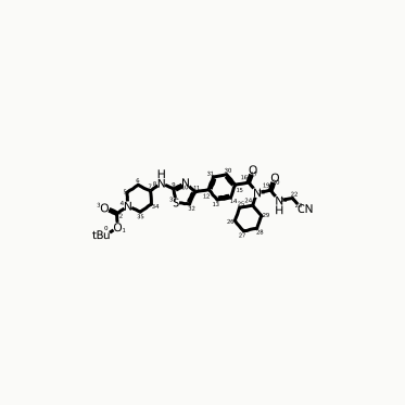 CC(C)(C)OC(=O)N1CCC(Nc2nc(-c3ccc(C(=O)N(C(=O)NCC#N)C4CCCCC4)cc3)cs2)CC1